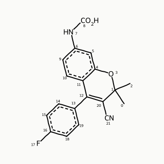 CC1(C)Oc2cc(NC(=O)O)ccc2C(c2ccc(F)cc2)=C1C#N